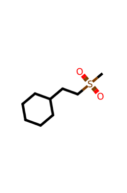 CS(=O)(=O)CCC1CCCCC1